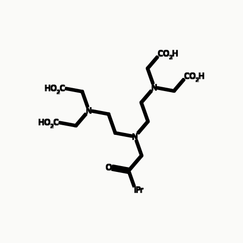 CC(C)C(=O)CN(CCN(CC(=O)O)CC(=O)O)CCN(CC(=O)O)CC(=O)O